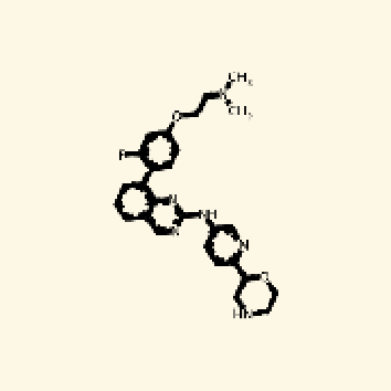 CN(C)CCOc1ccc(-c2cccc3cnc(Nc4ccc(C5CNCCO5)nc4)nc23)c(F)c1